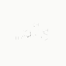 [CH2]C(CC(C)c1ccccc1C)c1ccc(C)cc1